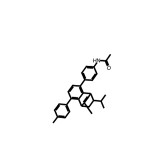 CC(=O)Nc1ccc(-c2ccc(-c3ccc(C)cc3)c3c2C2C=C(C)C3CC2C(C)C)cc1